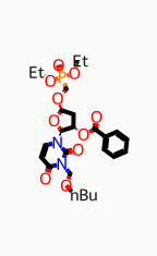 CCCCOCn1c(=O)ccn([C@@H]2O[C@@H](OCP(=O)(OCC)OCC)C[C@@H]2OC(=O)c2ccccc2)c1=O